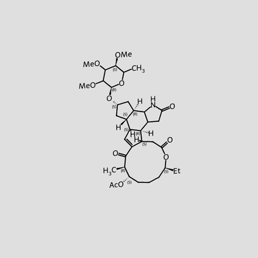 CC[C@H]1CCC[C@H](OC(C)=O)[C@@H](C)C(=O)C2=C[C@H]3[C@@H]4C[C@H](O[C@@H]5OC(C)[C@H](OC)C(OC)C5OC)C[C@H]4C4NC(=O)CC4[C@H]3[C@@H]2CC(=O)O1